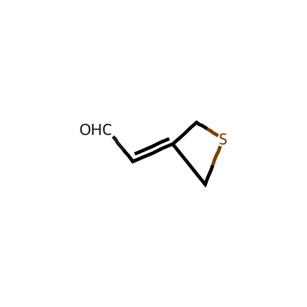 O=CC=C1CSC1